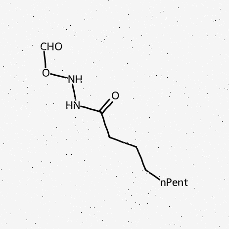 CCCCCCCCC(=O)NNOC=O